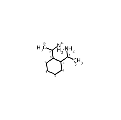 CC(N)C1CCCCC1C(C)N